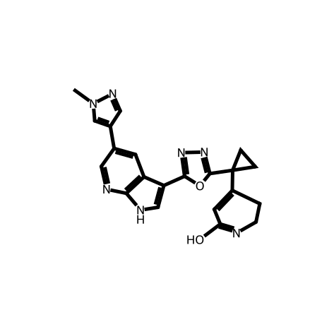 Cn1cc(-c2cnc3[nH]cc(-c4nnc(C5(C6=CC(O)=NCC6)CC5)o4)c3c2)cn1